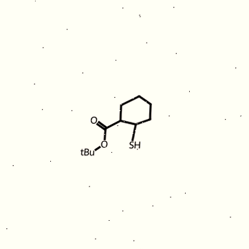 CC(C)(C)OC(=O)C1CCCCC1S